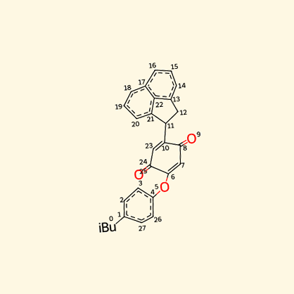 CCC(C)c1ccc(OC2=CC(=O)C(C3Cc4cccc5cccc3c45)=CC2=O)cc1